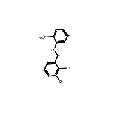 O=C(O)c1ccccc1OCc1cccc(Cl)c1F